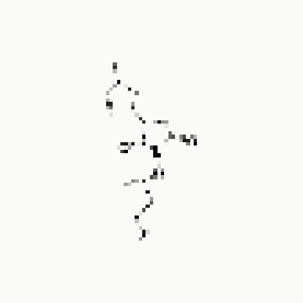 CC1C=CC(C2CC(=O)N(OC(=O)CCBr)C2=O)C1